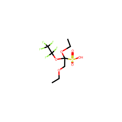 CCOCC(OCC)(OC(F)(F)C(F)(F)F)S(=O)(=O)O